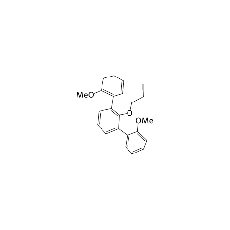 COC1=C(c2cccc(-c3ccccc3OC)c2OCCI)C=CCC1